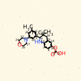 Cc1cc(C2Nc3ccc(OC(=O)O)cc3CC2(C)C)cc(N2CCOCC2)c1